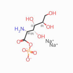 N[C@@H](C(=O)OP(=O)([O-])[O-])[C@@H](O)[C@H](O)[C@H](O)CO.[Na+].[Na+]